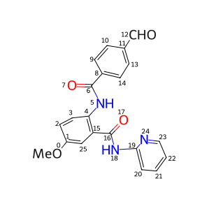 COc1ccc(NC(=O)c2ccc(C=O)cc2)c(C(=O)Nc2ccccn2)c1